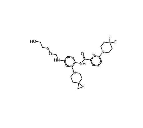 O=C(Nc1ccc(NCOSCCO)cc1N1CCC2(CC1)CC2)c1cccc(N2CCC(F)(F)CC2)n1